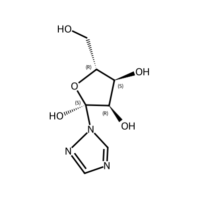 OC[C@H]1O[C@](O)(n2cncn2)[C@H](O)[C@@H]1O